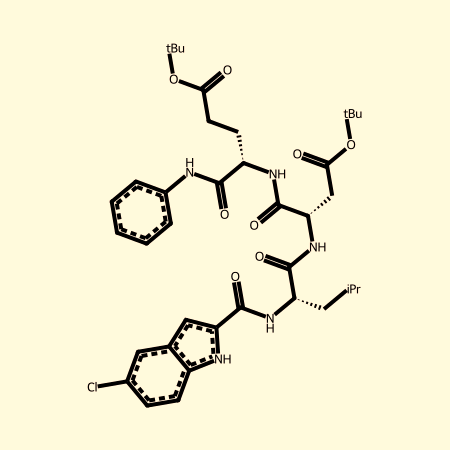 CC(C)C[C@H](NC(=O)c1cc2cc(Cl)ccc2[nH]1)C(=O)N[C@@H](CC(=O)OC(C)(C)C)C(=O)N[C@@H](CCC(=O)OC(C)(C)C)C(=O)Nc1ccccc1